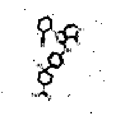 N#CC1CCCC[C@@H]1n1nc(Nc2ccc([C@]3(O)CC[C@H](C(=O)O)CC3)cc2)c2c(=O)[nH]ccc21